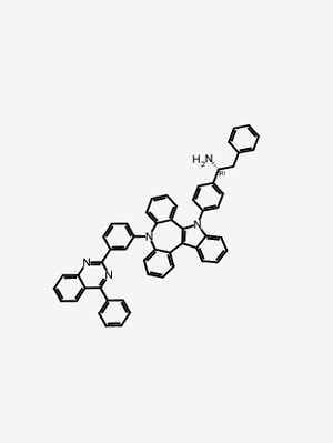 N[C@H](Cc1ccccc1)c1ccc(-n2c3c(c4ccccc42)-c2ccccc2N(c2cccc(-c4nc(-c5ccccc5)c5ccccc5n4)c2)c2ccccc2-3)cc1